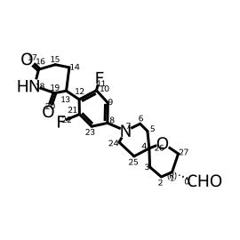 O=C[C@@H]1CCC2(CCN(c3cc(F)c(C4CCC(=O)NC4=O)c(F)c3)CC2)OC1